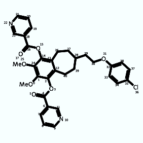 COc1c(OC(=O)c2cccnc2)c2c(c(OC(=O)c3cccnc3)c1OC)CCC(CCOc1ccc(Cl)cc1)CC2